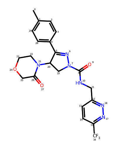 Cc1ccc(C2=NN(C(=O)NCc3ccc(C(F)(F)F)nn3)CC2N2CCOCC2=O)cc1